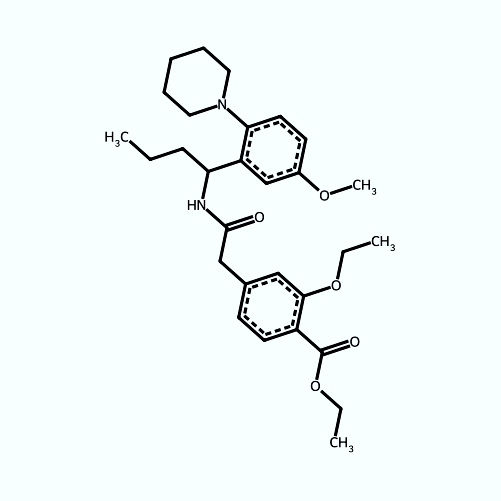 CCCC(NC(=O)Cc1ccc(C(=O)OCC)c(OCC)c1)c1cc(OC)ccc1N1CCCCC1